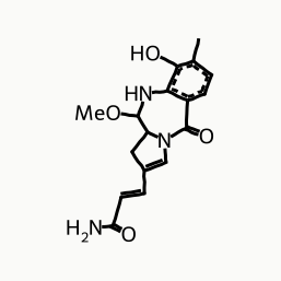 COC1Nc2c(ccc(C)c2O)C(=O)N2C=C(C=CC(N)=O)CC12